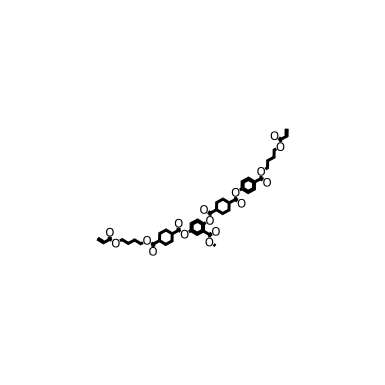 C=CC(=O)OCCCCOC(=O)c1ccc(OC(=O)C2CCC(C(=O)Oc3ccc(OC(=O)C4CCC(C(=O)OCCCCOC(=O)C=C)CC4)cc3C(=O)OC)CC2)cc1